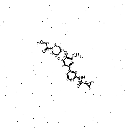 Cc1cc(-c2ccnc(NC(=O)C3CC3)c2)ccc1O[C@H]1CCN(C(=O)CO)C[C@H]1F